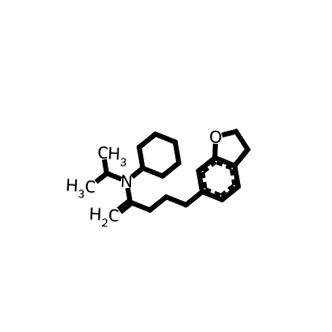 C=C(CCCc1ccc2c(c1)OCC2)N(C(C)C)C1CCCCC1